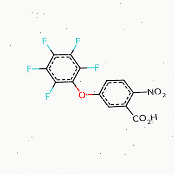 O=C(O)c1cc(Oc2c(F)c(F)c(F)c(F)c2F)ccc1[N+](=O)[O-]